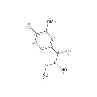 COc1cc(C(O)C(CN=O)N=O)ccc1O